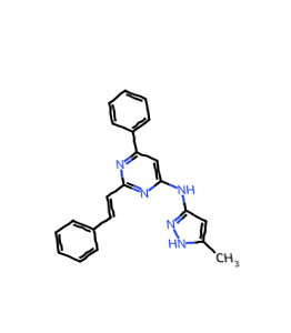 Cc1cc(Nc2cc(-c3ccccc3)nc(/C=C/c3ccccc3)n2)n[nH]1